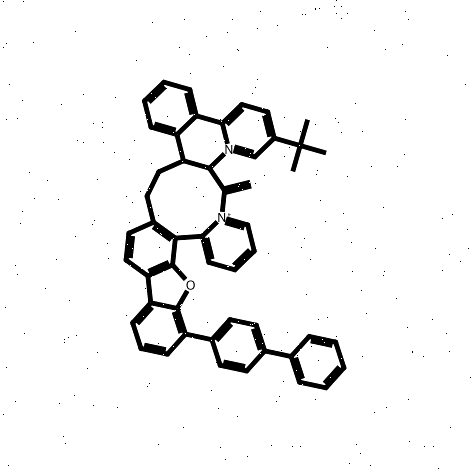 C=C1C2C(CCc3ccc4c(oc5c(-c6ccc(-c7ccccc7)cc6)cccc54)c3-c3cccc[n+]31)c1ccccc1-c1ccc(C(C)(C)C)c[n+]12